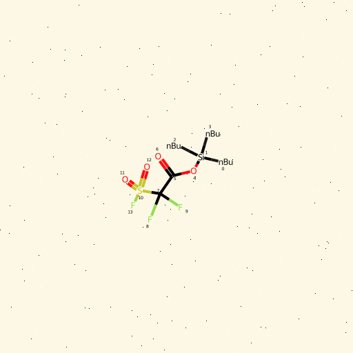 CCCC[Si](CCCC)(CCCC)OC(=O)C(F)(F)S(=O)(=O)F